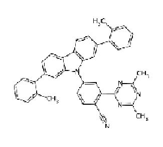 Cc1nc(C)nc(-c2cc(-n3c4cc(-c5ccccc5C)ccc4c4ccc(-c5ccccc5C)cc43)ccc2C#N)n1